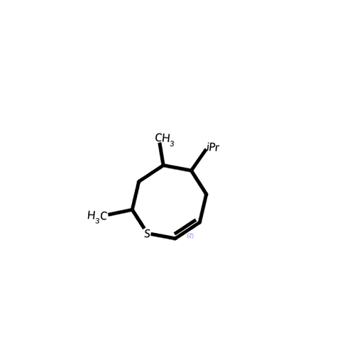 CC1CC(C)C(C(C)C)C/C=C\S1